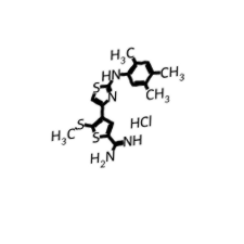 CSc1sc(C(=N)N)cc1-c1csc(Nc2cc(C)c(C)cc2C)n1.Cl